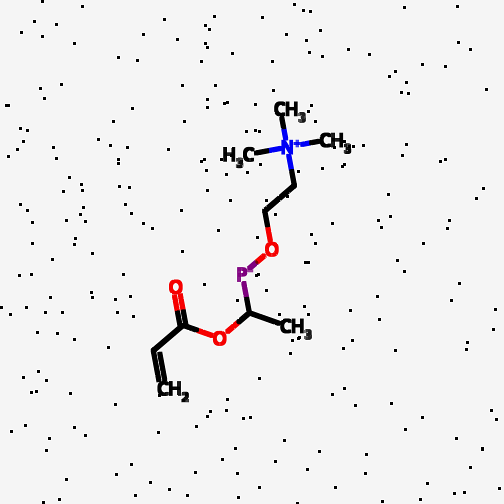 C=CC(=O)OC(C)[P-]OCC[N+](C)(C)C